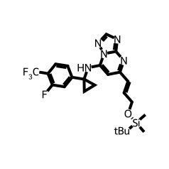 CC(C)(C)[Si](C)(C)OCC=Cc1cc(NC2(c3ccc(C(F)(F)F)c(F)c3)CC2)n2ncnc2n1